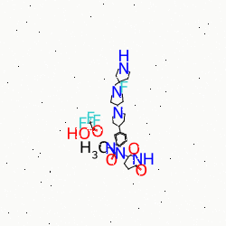 Cn1c(=O)n(C2CCC(=O)NC2=O)c2ccc(C3CCN(C4CCN(CC5(F)CCNCC5)CC4)CC3)cc21.O=C(O)C(F)(F)F